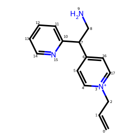 C=CC[n+]1ccc(C(CN)c2ccccn2)cc1